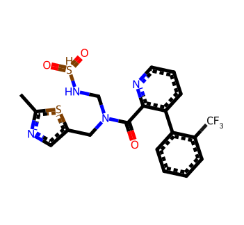 Cc1ncc(CN(CN[SH](=O)=O)C(=O)c2ncccc2-c2ccccc2C(F)(F)F)s1